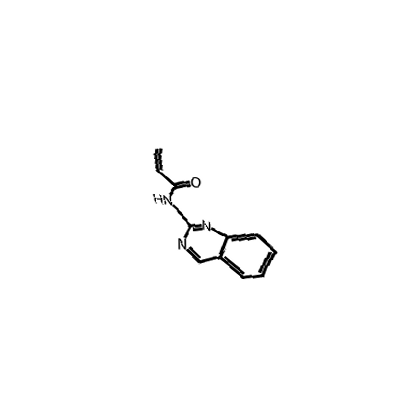 C=CC(=O)Nc1ncc2ccccc2n1